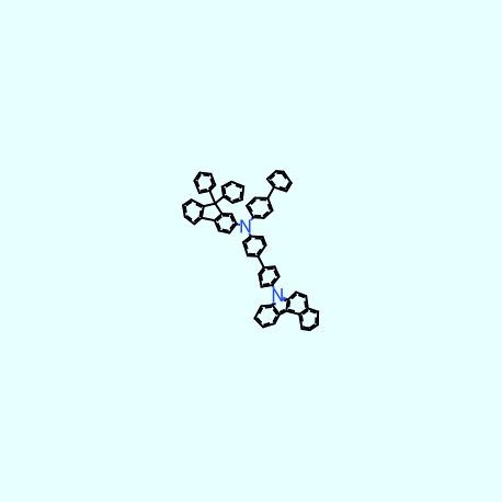 c1ccc(-c2ccc(N(c3ccc(-c4ccc(-n5c6ccccc6c6c7ccccc7ccc65)cc4)cc3)c3ccc4c(c3)C(c3ccccc3)(c3ccccc3)c3ccccc3-4)cc2)cc1